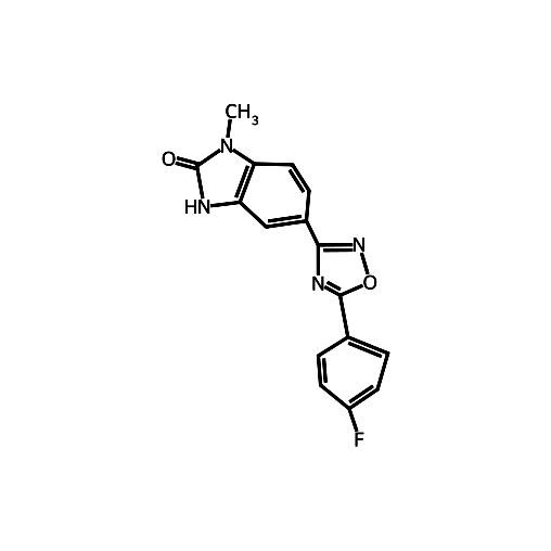 Cn1c(=O)[nH]c2cc(-c3noc(-c4ccc(F)cc4)n3)ccc21